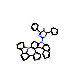 c1ccc(C2=NC(n3c4ccc5c(c4c4c6ccccc6ccc43)-c3ccccc3-c3cccc4c6ccccc6n-5c34)=NC(c3ccccc3)N2)cc1